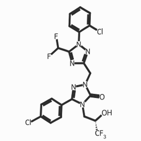 O=c1n(Cc2nc(C(F)F)n(-c3ccccc3Cl)n2)nc(-c2ccc(Cl)cc2)n1C[C@H](O)C(F)(F)F